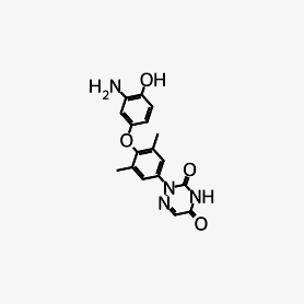 Cc1cc(-n2ncc(=O)[nH]c2=O)cc(C)c1Oc1ccc(O)c(N)c1